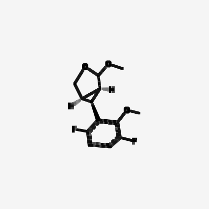 COc1c(F)ccc(F)c1[C@H]1[C@H]2COC(OC)[C@H]21